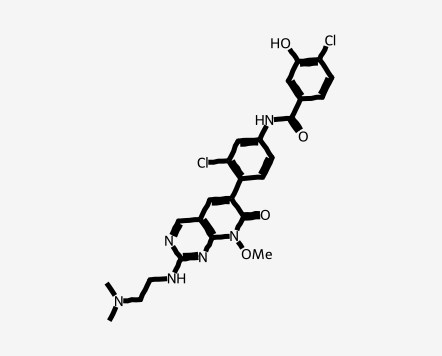 COn1c(=O)c(-c2ccc(NC(=O)c3ccc(Cl)c(O)c3)cc2Cl)cc2cnc(NCCN(C)C)nc21